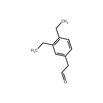 CCc1ccc(C[C]=O)cc1CC